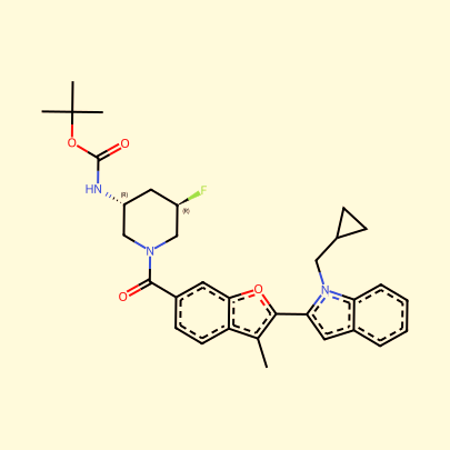 Cc1c(-c2cc3ccccc3n2CC2CC2)oc2cc(C(=O)N3C[C@H](F)C[C@@H](NC(=O)OC(C)(C)C)C3)ccc12